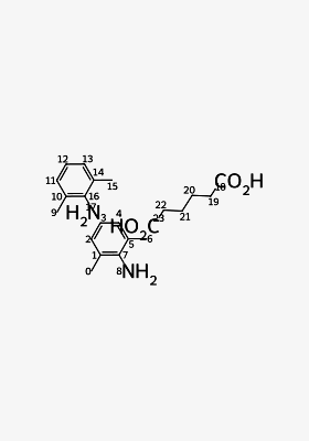 Cc1cccc(C)c1N.Cc1cccc(C)c1N.O=C(O)CCCCC(=O)O